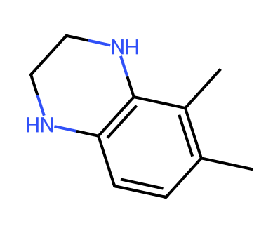 Cc1ccc2c(c1C)NCCN2